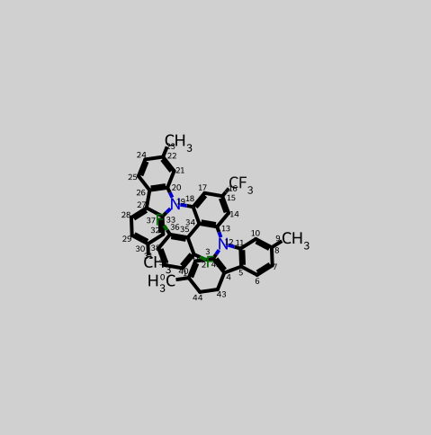 CC1=Cc2c(c3ccc(C)cc3n2-c2cc(C(F)(F)F)cc(-n3c4cc(C)ccc4c4ccc(C)cc43)c2-c2c(F)cccc2F)CC1